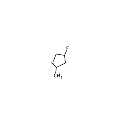 CC1CC(F)CS1